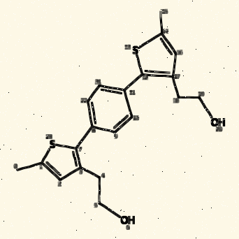 Cc1cc(CCO)c(-c2ccc(-c3sc(C)cc3CCO)cc2)s1